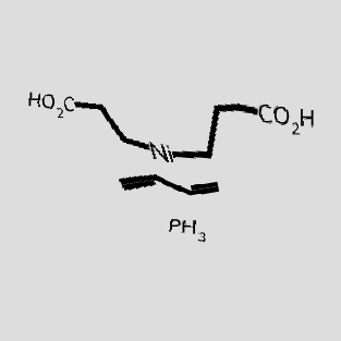 C=CC=C.O=C(O)C[CH2][Ni][CH2]CC(=O)O.P